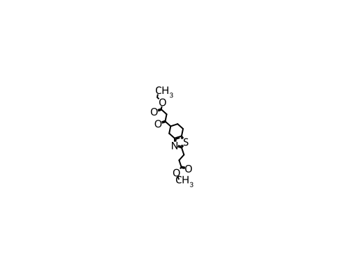 CCOC(=O)CC(=O)C1CCc2sc(CCC(=O)OC)nc2C1